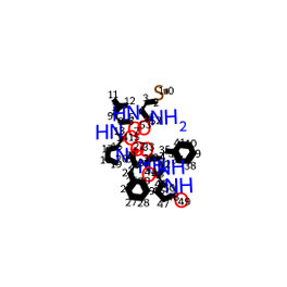 CSCC[C@H](NC(=O)[C@H](CC(C)C)NC(=O)[C@@H]1CCCN1C(=O)[C@H](Cc1ccccc1)NC(=O)[C@H](Cc1ccccc1)NC(=O)[C@@H]1CCC(=O)N1)C(N)=O